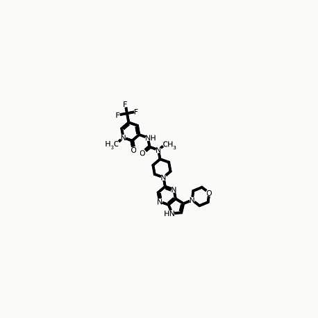 CN(C(=O)Nc1cc(C(F)(F)F)cn(C)c1=O)C1CCN(c2cnc3[nH]cc(N4CCOCC4)c3n2)CC1